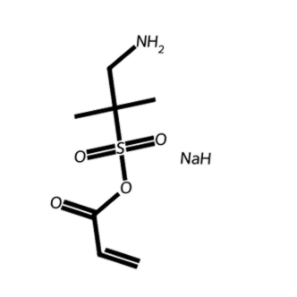 C=CC(=O)OS(=O)(=O)C(C)(C)CN.[NaH]